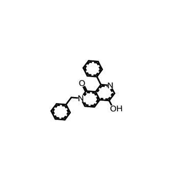 O=c1c2c(-c3ccccc3)ncc(O)c2ccn1Cc1ccccc1